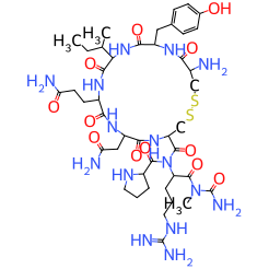 CCC(C)C1NC(=O)C(Cc2ccc(O)cc2)NC(=O)C(N)CSSCC(C(=O)N(C(=O)C2CCCN2)C(CCCNC(=N)N)C(=O)N(C)C(N)=O)NC(=O)C(CC(N)=O)NC(=O)C(CCC(N)=O)NC1=O